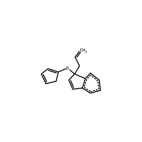 C=CC[C]1([Zr][C]2=CC=CC2)C=Cc2ccccc21